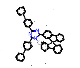 CN1C(c2ccc(-c3ccccc3)cc2)=NC(c2ccc(-c3ccccc3)cc2)=NC1c1ccc2c(c1)C1(c3ccccc3-c3ccccc31)c1ccccc1-2